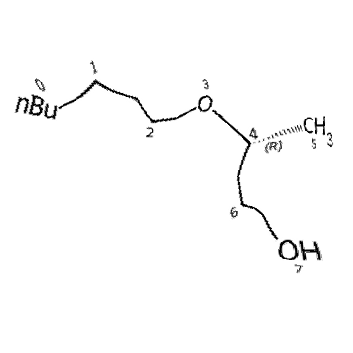 CCCCCCO[C@H](C)CO